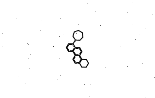 c1cc([C]2CCCCCC2)c2ccc3c4c(ccc3c2c1)CCCC4